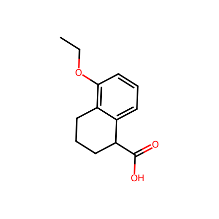 CCOc1cccc2c1CCCC2C(=O)O